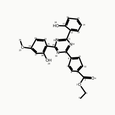 CCOC(=O)c1ccc(-c2nc(-c3ccccc3O)nc(-c3ccc(OC)cc3O)n2)cc1